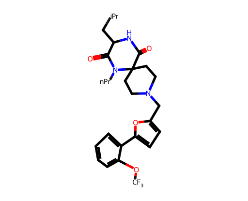 CCCN1C(=O)C(CC(C)C)NC(=O)C12CCN(Cc1ccc(-c3ccccc3OC(F)(F)F)o1)CC2